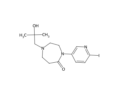 CC(C)(O)CN1CCC(=O)N(c2ccc(I)nc2)CC1